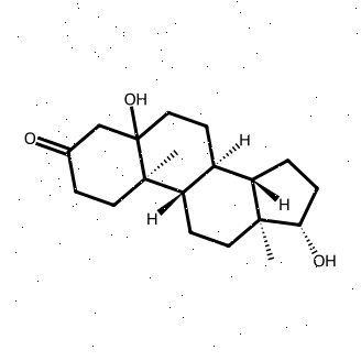 C[C@]12CC[C@H]3[C@@H](CCC4(O)CC(=O)CC[C@]34C)[C@@H]1CC[C@@H]2O